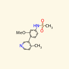 COc1cc(NS(C)(=O)=O)ccc1-c1cnccc1C